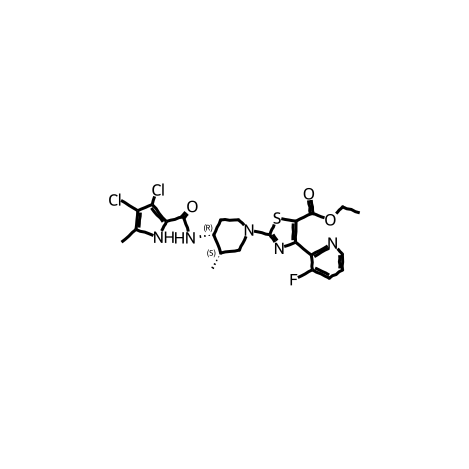 CCOC(=O)c1sc(N2CC[C@@H](NC(=O)c3[nH]c(C)c(Cl)c3Cl)[C@@H](C)C2)nc1-c1ncccc1F